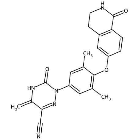 C=C1NC(=O)N(c2cc(C)c(Oc3ccc4c(c3)CCNC4=O)c(C)c2)N=C1C#N